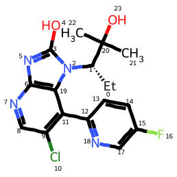 CC[C@H](n1c(O)nc2ncc(Cl)c(-c3ccc(F)cn3)c21)C(C)(C)O